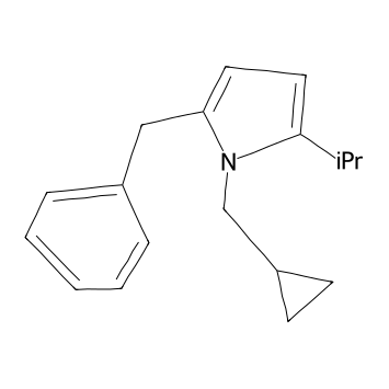 CC(C)c1ccc(Cc2ccccc2)n1CC1CC1